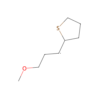 COCC[CH]C1CCCS1